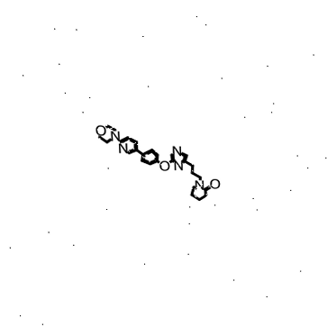 O=C1CCCCN1CCCc1cncc(Oc2ccc(-c3ccc(N4CCOCC4)nc3)cc2)n1